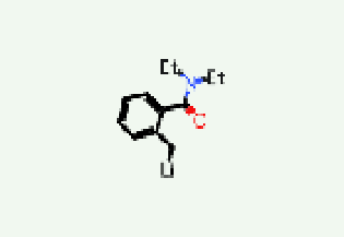 [Li][CH2]c1ccccc1C(=O)N(CC)CC